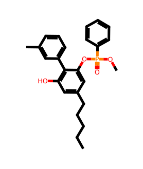 CCCCCc1cc(O)c(-c2cccc(C)c2)c(OP(=O)(OC)c2ccccc2)c1